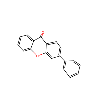 O=c1c2ccccc2oc2cc(-c3ccccc3)ccc12